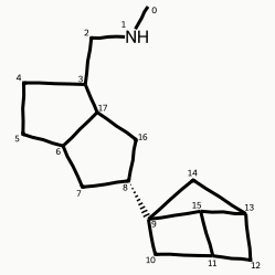 CNCC1CCC2C[C@@H](C34CC5CC(C3)C54)CC12